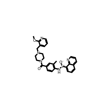 COc1ncccc1CN1CCN(C(=O)c2ccc(N[S+]([O-])c3cccc4cccnc34)c(C)c2)CC1